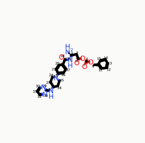 N[C@H](CC(=O)OC(=O)OCc1ccccc1)NC(=O)c1ccc(N2CCC(Nc3ncccn3)CC2)cc1